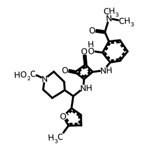 Cc1ccc(C(Nc2c(Nc3cccc(C(=O)N(C)C)c3O)c(=O)c2=O)C2CCN(C(=O)O)CC2)o1